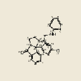 O=C(CNc1ncccn1)N1CCN2C(=O)c3ccccc3C12c1ccc(Cl)cc1